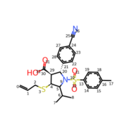 C=CCS[C@@H]1C(C(C)C)N(S(=O)(=O)c2ccc(C)cc2)[C@@H](c2ccc(C#N)cc2)[C@@H]1C(=O)O